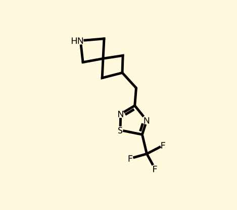 FC(F)(F)c1nc(CC2CC3(CNC3)C2)ns1